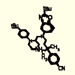 CC(C)(C)c1ccc(N2CCNCC2CN(CCC(C)(C)c2ccc(C#N)cc2)c2ccc3oc(C(C)(C)C)nc3c2)cc1